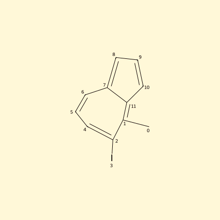 Cc1c(I)cccc2cccc1-2